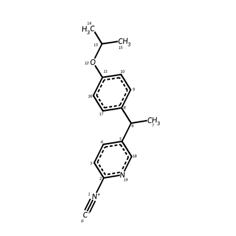 [C-]#[N+]c1ccc(C(C)c2ccc(OC(C)C)cc2)cn1